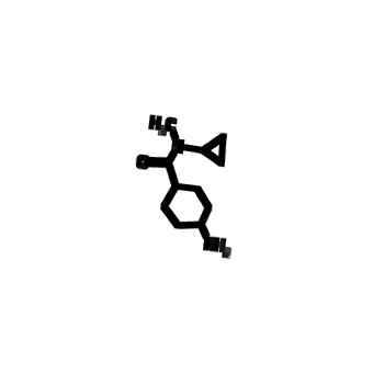 CN(C(=O)C1CCC(N)CC1)C1CC1